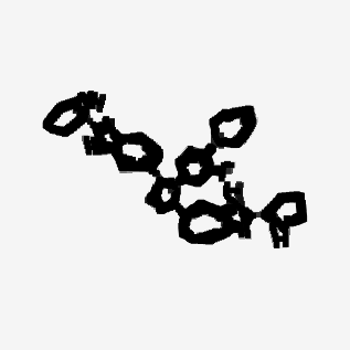 Fc1cc(N2[C@@H](c3ccc4nc([C@@H]5CCCN5)[nH]c4c3)CC[C@@H]2c2ccc3nc([C@@H]4CCCN4)[nH]c3c2)ccc1N1CCCCC1